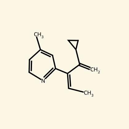 C=C(/C(=C\C)c1cc(C)ccn1)C1CC1